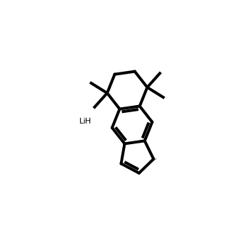 CC1(C)CCC(C)(C)c2cc3c(cc21)[CH]C=C3.[LiH]